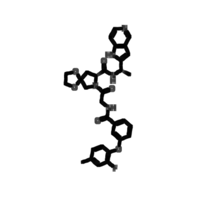 Cc1ccc(Oc2cccc(C(=O)NCC(=O)N3CC4(C[C@H]3C(=O)N[C@H](C)c3cc5cnccc5[nH]3)OCCO4)c2)c(F)c1